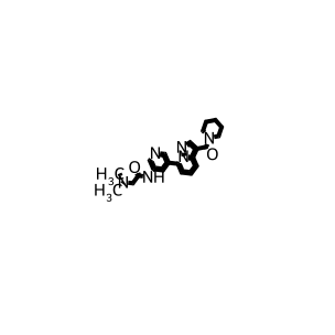 CN(C)CC(=O)Nc1cncc(-c2cccc3c(C(=O)N4CCCCC4)cnn23)c1